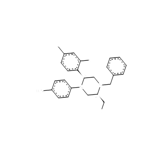 Nc1ccc(N2C[C@H](CO)N(Cc3ccccc3)C[C@@H]2c2ccc(Cl)cc2Cl)cc1